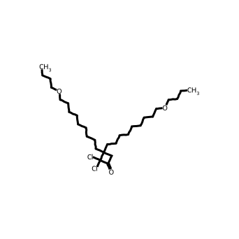 CCCCOCCCCCCCCCC1(CCCCCCCCCOCCCC)CC(=O)C1(Cl)Cl